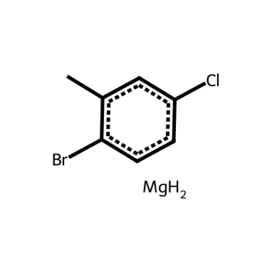 Cc1cc(Cl)ccc1Br.[MgH2]